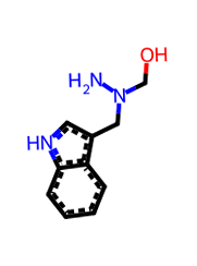 NN(CO)Cc1c[nH]c2ccccc12